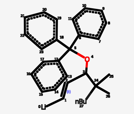 [Li]/[CH]=C/C(OC(c1ccccc1)(c1ccccc1)c1ccccc1)C(C)(C)CCCC